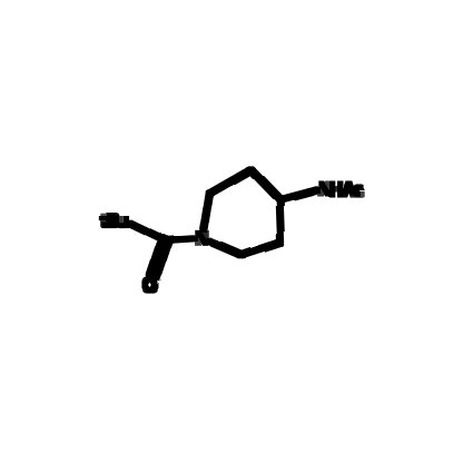 CC(=O)NC1CCN(C(=O)C(C)(C)C)CC1